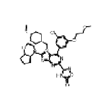 C=C[C@H]1CC[C@H](Cn2c(N3CCOC4CCCC43)nc3nc(-c4noc(=O)[nH]4)nc(-c4cc(Cl)cc(OCCOC)c4)c32)CC1